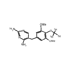 [2H]C([2H])([2H])Oc1c(OC)cc(Cc2cnc(N)nc2N)cc1OC